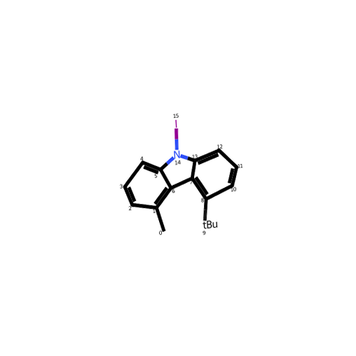 Cc1cccc2c1c1c(C(C)(C)C)cccc1n2I